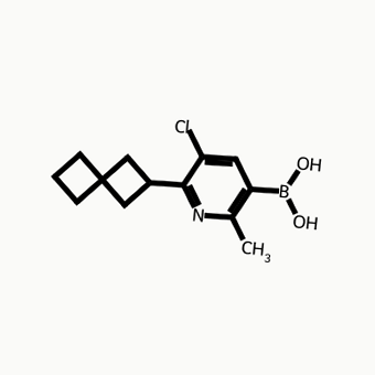 Cc1nc(C2CC3(CCC3)C2)c(Cl)cc1B(O)O